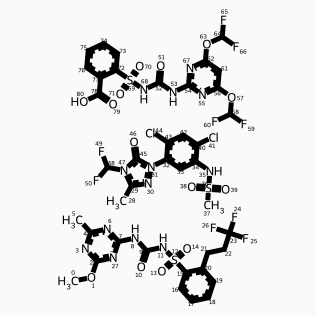 COc1nc(C)nc(NC(=O)NS(=O)(=O)c2ccccc2CCC(F)(F)F)n1.Cc1nn(-c2cc(NS(C)(=O)=O)c(Cl)cc2Cl)c(=O)n1C(F)F.O=C(Nc1nc(OC(F)F)cc(OC(F)F)n1)NS(=O)(=O)c1ccccc1C(=O)O